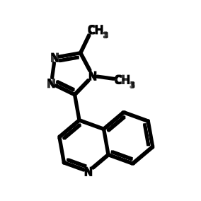 Cc1nnc(-c2ccnc3ccccc23)n1C